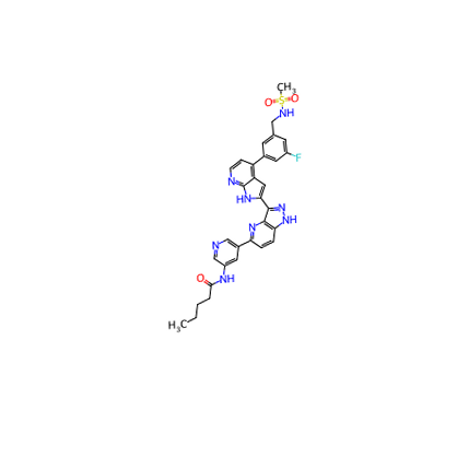 CCCCC(=O)Nc1cncc(-c2ccc3[nH]nc(-c4cc5c(-c6cc(F)cc(CNS(C)(=O)=O)c6)ccnc5[nH]4)c3n2)c1